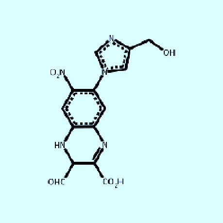 O=CC1Nc2cc([N+](=O)[O-])c(-n3cnc(CO)c3)cc2N=C1C(=O)O